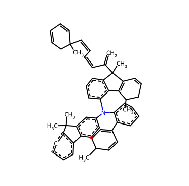 C=C(/C=C\C=C/C1(C)C=CC=CC1)C1(C)C2=C(c3c(N(c4ccc5c(c4)C(C)(C)c4ccccc4-5)c4ccccc4C4=CCC(C)C=C4)cccc31)C(C)CC=C2